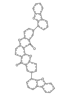 O=c1c2cc(-c3cccc4c3oc3ccccc34)ccc2oc2c1ccc1oc3ccc(-c4cccc5c4oc4ccccc45)cc3c(=O)c12